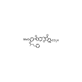 COc1ccc(N2Cc3ccc(CN4C(=O)c5cnc(C(=O)O)cc5C4=O)cc3C2=O)cc1OC(C)CCc1ccccc1